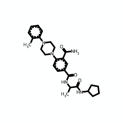 Cc1ccccc1N1CCN(c2ccc(C(=O)NC(C)C(=O)NC3CCCC3)cc2C(N)=O)CC1